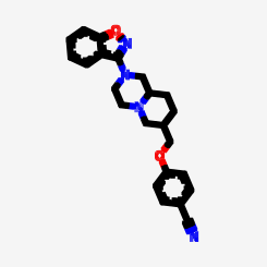 N#Cc1ccc(OCC2CCC3CN(c4noc5ccccc45)CCN3C2)cc1